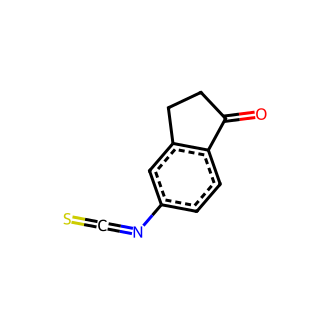 O=C1CCc2cc(N=C=S)ccc21